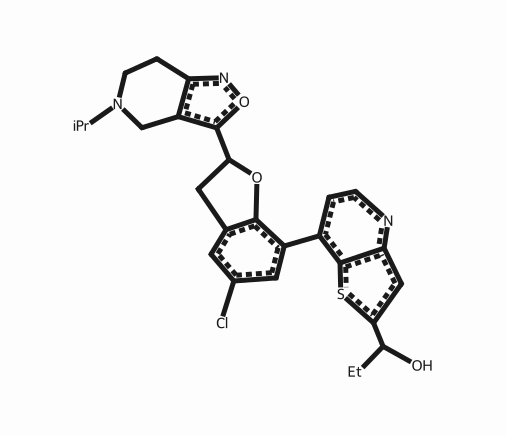 CCC(O)c1cc2nccc(-c3cc(Cl)cc4c3OC(c3onc5c3CN(C(C)C)CC5)C4)c2s1